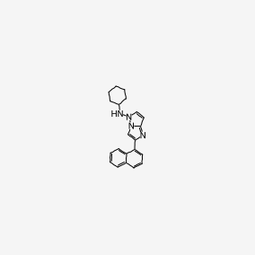 c1ccc2c(-c3cn4c(ccn4NC4CCCCC4)n3)cccc2c1